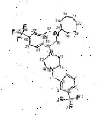 FC(F)(F)c1cccc(CN2CCN(CCN(Cc3cccc(C(F)(F)F)c3)C3CCCCCC3)CC2)c1